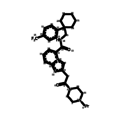 CC(C)N1CCN(C(=O)Cc2cn3c(C(=O)NCC4(c5ccc(C(F)(F)F)cc5)CCCCC4)cccc3n2)CC1